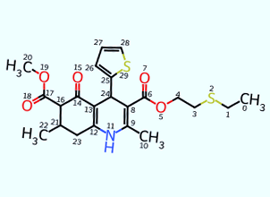 CCSCCOC(=O)C1=C(C)NC2=C(C(=O)C(C(=O)OC)C(C)C2)C1c1cccs1